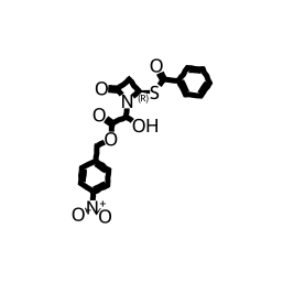 O=C(S[C@@H]1CC(=O)N1C(O)C(=O)OCc1ccc([N+](=O)[O-])cc1)c1ccccc1